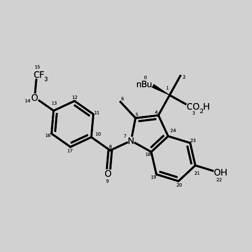 CCCC[C@@](C)(C(=O)O)c1c(C)n(C(=O)c2ccc(OC(F)(F)F)cc2)c2ccc(O)cc12